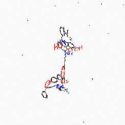 C=CCN1CC[C@]23c4c5ccc(O)c4OC2C(NCCCCCCOCCOCCN(C)CCC(Oc2ccc(C)cc2)c2ccccc2)CC[C@@]3(O)[C@H]1C5